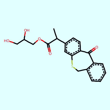 CC(C(=O)OCC(O)CO)c1ccc2c(c1)SCc1ccccc1C2=O